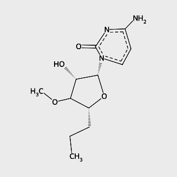 CCC[C@H]1O[C@@H](n2ccc(N)nc2=O)[C@@H](O)C1OC